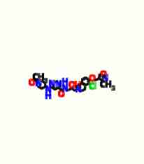 CC(=O)N1CCC(Nc2cc(C(=O)NC[C@H](O)CN3CCc4c(ccc(OCc5conc5C)c4Cl)C3)ncn2)CC1